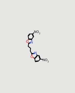 O=[N+]([O-])c1ccc2oc(CCCc3nc4cc([N+](=O)[O-])ccc4o3)nc2c1